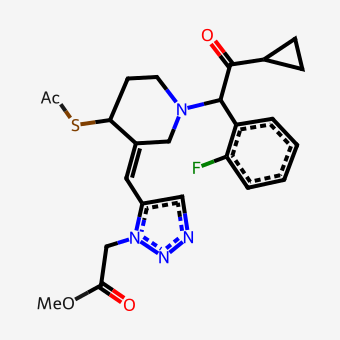 COC(=O)Cn1nncc1/C=C1\CN(C(C(=O)C2CC2)c2ccccc2F)CCC1SC(C)=O